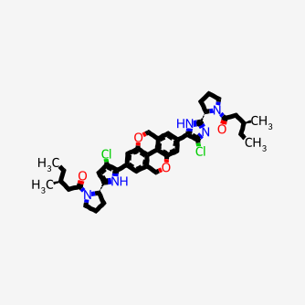 CC[C@H](C)CC(=O)N1CCC[C@H]1c1cc(Cl)c(-c2cc3c4c(c2)OCc2cc(-c5[nH]c([C@@H]6CCCN6C(=O)C[C@@H](C)CC)nc5Cl)cc(c2-4)OC3)[nH]1